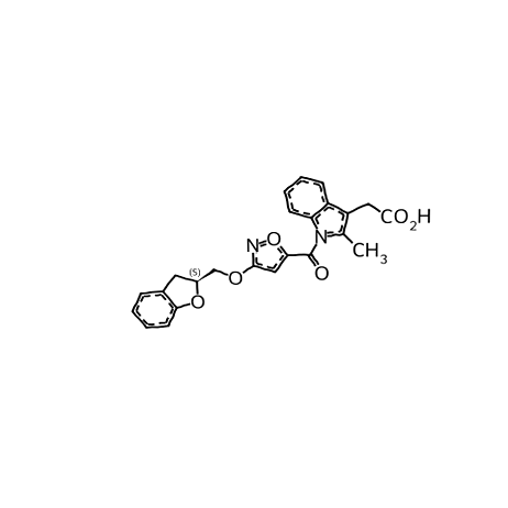 Cc1c(CC(=O)O)c2ccccc2n1C(=O)c1cc(OC[C@@H]2Cc3ccccc3O2)no1